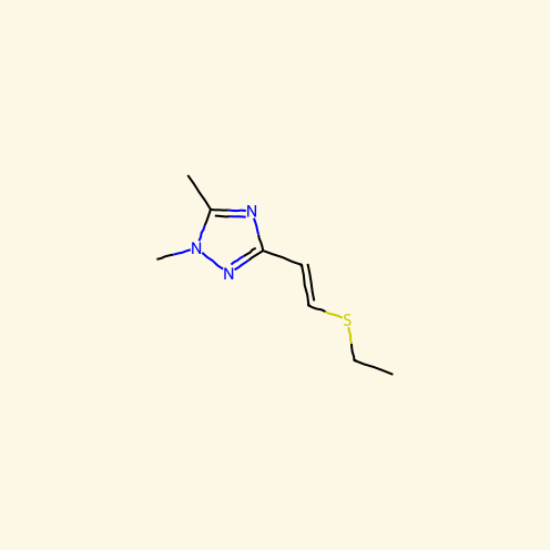 CCSC=Cc1nc(C)n(C)n1